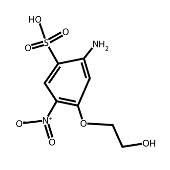 Nc1cc(OCCO)c([N+](=O)[O-])cc1S(=O)(=O)O